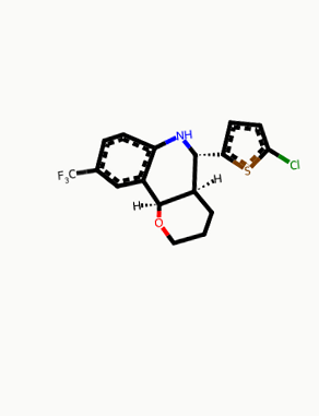 FC(F)(F)c1ccc2c(c1)[C@@H]1OCCC[C@@H]1[C@@H](c1ccc(Cl)s1)N2